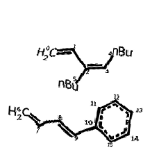 C=CC(=CCCCC)CCCC.C=CC=Cc1ccccc1